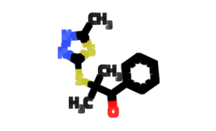 Cc1nnc(SC(C)(C)C(=O)c2ccccc2)s1